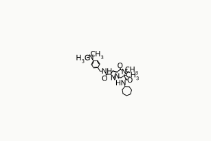 CN(C)c1ccc(CNC(=O)c2cc3n(n2)CC(C)(C(=O)NC2CCCCCC2)N(C)C3=O)cc1